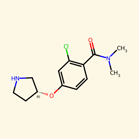 CN(C)C(=O)c1ccc(O[C@@H]2CCNC2)cc1Cl